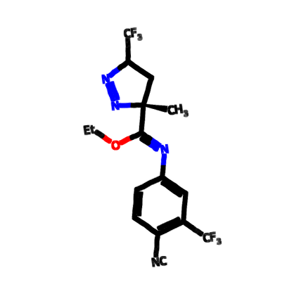 [C-]#[N+]c1ccc(/N=C(\OCC)[C@@]2(C)CC(C(F)(F)F)N=N2)cc1C(F)(F)F